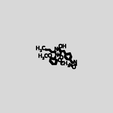 CCCCc1nc(O)c(Cc2ccc(-c3ncon3)cc2)c(=O)n1-c1c(OC)cccc1OC